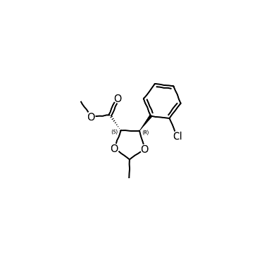 COC(=O)[C@H]1OC(C)O[C@@H]1c1ccccc1Cl